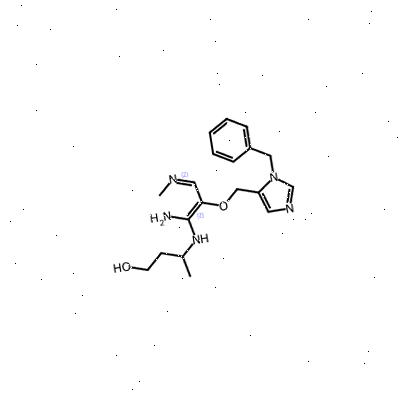 C/N=C\C(OCc1cncn1Cc1ccccc1)=C(/N)NC(C)CCO